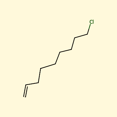 [CH]=CCCCCCCCCl